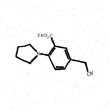 CCOC(=O)c1cc(CC#N)ccc1N1CCCC1